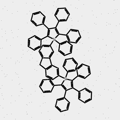 c1ccc(C2=C(c3ccccc3)[Si](c3ccccc3)(c3ccc4c(c3)-c3cc([Si]5(c6ccccc6)C(c6ccccc6)=C(c6ccccc6)C(c6ccccc6)=C5c5ccccc5)ccc3C4)C(c3ccccc3)=C2c2ccccc2)cc1